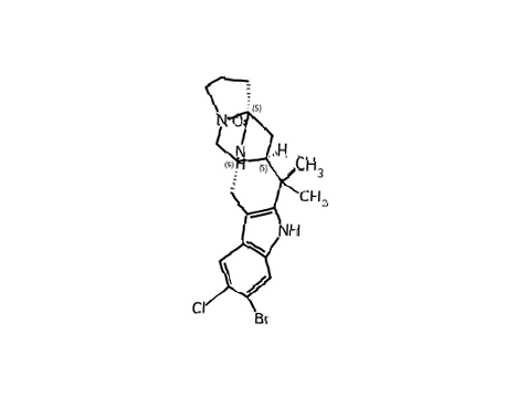 CC1(C)c2[nH]c3cc(Br)c(Cl)cc3c2C[C@@]23CN4CCC[C@]4(C[C@@H]12)C(=O)N3